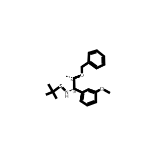 COc1cccc([C@H](NSC(C)(C)C)[C@H](C)OCc2ccccc2)c1